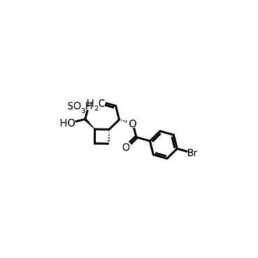 C=C[C@H](OC(=O)c1ccc(Br)cc1)[C@@H]1CC[C@H]1C(O)S(=O)(=O)O